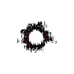 CCCC[C@H]1C(=O)N2CCC[C@@H]2C(=O)N[C@@H](CN)C(=O)N[C@@H](C(C)C)C(=O)N(C)[C@@H](Cc2ccccc2)C(=O)N[C@@H](Cc2ccc(O)cc2)C(=O)N2CSC[C@@H]2C(=O)N[C@@H](Cc2c[nH]c3ccccc23)C(=O)N[C@@H](Cc2ccc(O)cc2)C(=O)N[C@@H](CC(C)C)C(=O)N[C@H](C(=O)NCC(N)=O)CSCC(=O)N[C@@H](Cc2ccccc2)C(=O)N(C)[C@@H](Cc2ccccc2)C(=O)N1C